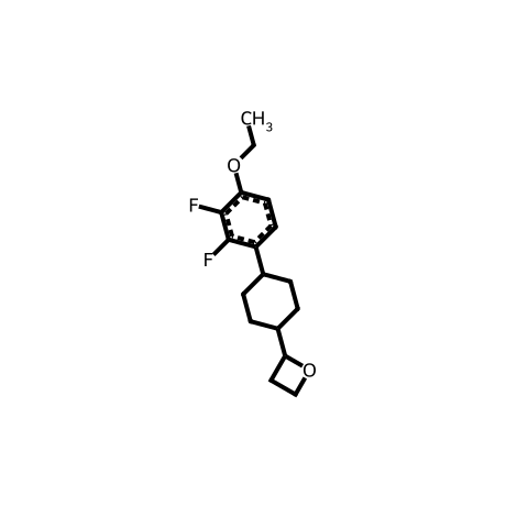 CCOc1ccc(C2CCC(C3CCO3)CC2)c(F)c1F